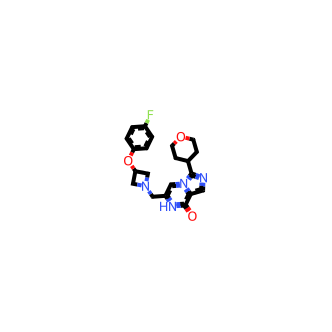 O=c1[nH]c(CN2CC(Oc3ccc(F)cc3)C2)cn2c(C3CCOCC3)ncc12